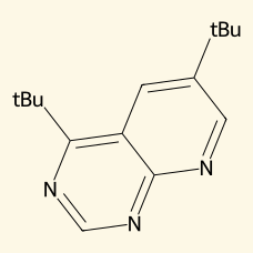 CC(C)(C)c1cnc2ncnc(C(C)(C)C)c2c1